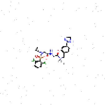 CN(Cc1ccc(C2=NCCN2)cc1)C(=O)CNC(=O)CN(C1CC1)S(=O)(=O)c1c(Cl)cccc1Cl